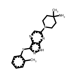 Cc1ccccc1Sc1n[nH]c2nc(N3CCC(C)(N)CC3)cnc12